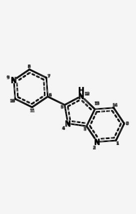 c1cnc2nc(-c3ccncc3)[nH]c2c1